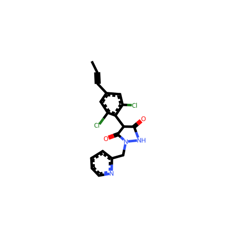 CC#Cc1cc(Cl)c(C2C(=O)NN(Cc3ccccn3)C2=O)c(Cl)c1